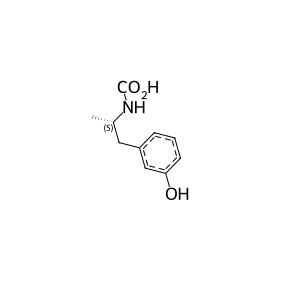 C[C@@H](Cc1cccc(O)c1)NC(=O)O